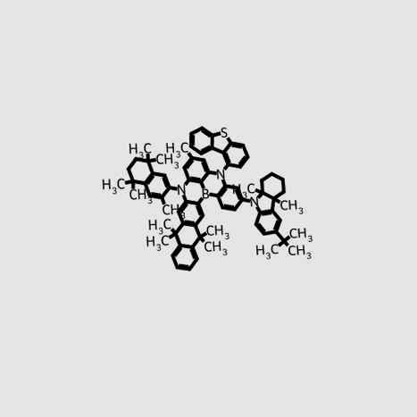 Cc1cc2c3c(c1)N(c1cccc4sc5ccccc5c14)c1cc(N4c5ccc(C(C)(C)C)cc5C5(C)CCCCC45C)ccc1B3c1cc3c(cc1N2c1cc2c(cc1C)C(C)(C)CCC2(C)C)C(C)(C)c1ccccc1C3(C)C